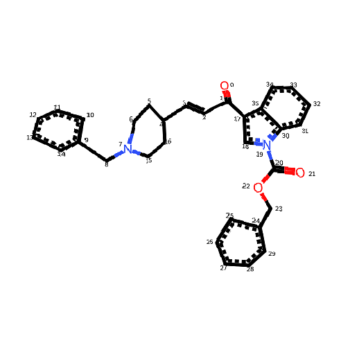 O=C(C=CC1CCN(Cc2ccccc2)CC1)c1cn(C(=O)OCc2ccccc2)c2ccccc12